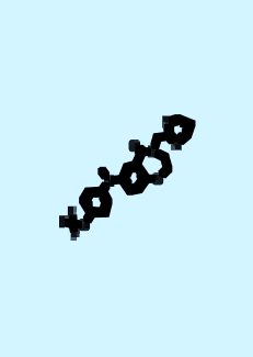 CN(c1ccc(OC(F)(F)F)cc1)c1ccc2c(c1)C(=O)N(Cc1ncccn1)CCO2